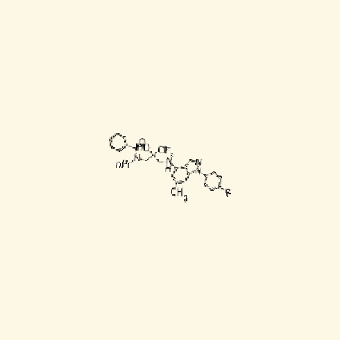 CCCN(CC(O)(CNc1cc(C)cc2c1cnn2-c1ccc(F)cc1)C(F)(F)F)C(=O)c1ccccc1